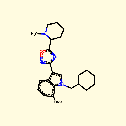 COc1cccc2c(-c3noc(C4CCCCN4C)n3)cn(CC3CCCCC3)c12